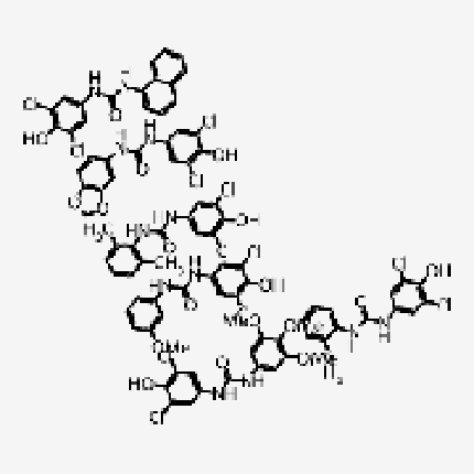 COc1cc(NC(=O)Nc2cc(Cl)c(O)c(Cl)c2)cc(OC)c1OC.COc1cccc(NC(=O)Nc2cc(Cl)c(O)c(Cl)c2)c1.Cc1cccc(C)c1NC(=O)Nc1cc(Cl)c(O)c(Cl)c1.Cc1ccccc1NC(=O)Nc1cc(Cl)c(O)c(Cl)c1.O=C(Nc1cc(Cl)c(O)c(Cl)c1)Nc1ccc2c(c1)OCO2.O=C(Nc1cc(Cl)c(O)c(Cl)c1)Nc1cccc2ccccc12